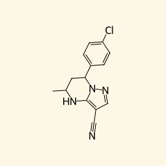 CC1CC(c2ccc(Cl)cc2)n2ncc(C#N)c2N1